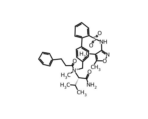 Cc1onc(NS(=O)(=O)c2ccccc2-c2ccc(C[N+](C)(C(=O)CCc3ccccc3)[C@H](C(N)=O)C(C)C)cc2)c1C